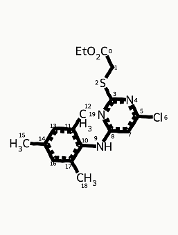 CCOC(=O)CSc1nc(Cl)cc(Nc2c(C)cc(C)cc2C)n1